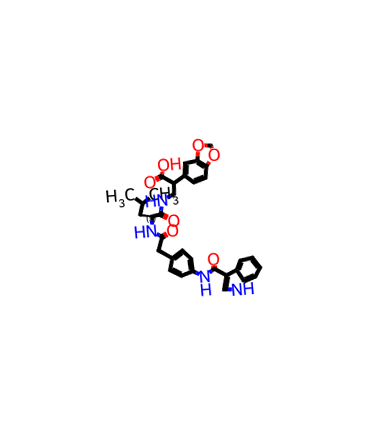 CC(C)C[C@H](NC(=O)Cc1ccc(NC(=O)c2c[nH]c3ccccc23)cc1)C(=O)NCC(C(=O)O)c1ccc2c(c1)OCO2